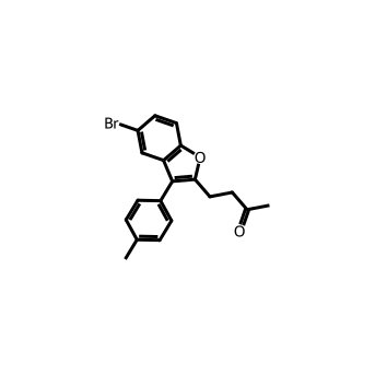 CC(=O)CCc1oc2ccc(Br)cc2c1-c1ccc(C)cc1